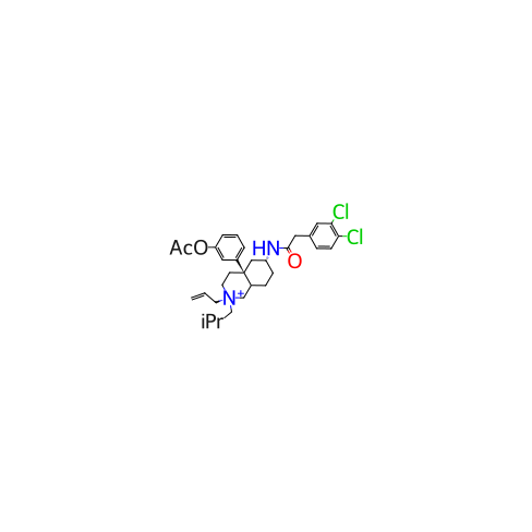 C=CC[N@@+]1(CC(C)C)CC[C@]2(c3cccc(OC(C)=O)c3)C[C@H](NC(=O)Cc3ccc(Cl)c(Cl)c3)CCC2C1